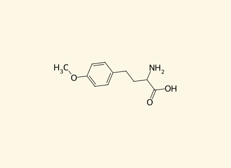 COc1ccc(CCC(N)C(=O)O)cc1